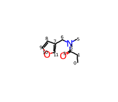 CCC(=O)N(C)Cc1ccoc1